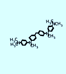 CN(C)c1ccc(N(C)c2ccc(Cc3ccc(N(C)c4ccc(N(C)C)cc4)cc3)cc2)cc1